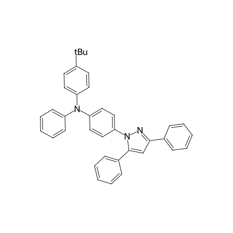 CC(C)(C)c1ccc(N(c2ccccc2)c2ccc(-n3nc(-c4ccccc4)cc3-c3ccccc3)cc2)cc1